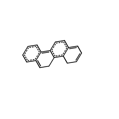 C1=CCc2c3c(ccc2=C1)=c1ccccc1=CC3